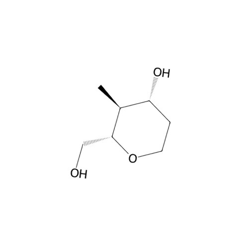 C[C@H]1[C@H](O)CCO[C@@H]1CO